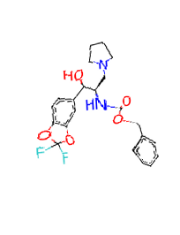 O=C(N[C@H](CN1CCCC1)[C@H](O)c1ccc2c(c1)OC(F)(F)O2)OCc1ccccc1